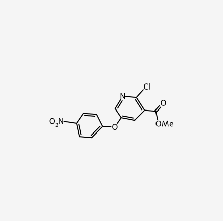 COC(=O)c1cc(Oc2ccc([N+](=O)[O-])cc2)cnc1Cl